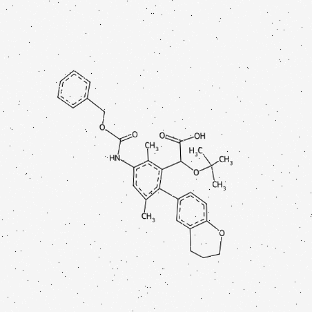 Cc1cc(NC(=O)OCc2ccccc2)c(C)c(C(OC(C)(C)C)C(=O)O)c1-c1ccc2c(c1)CCCO2